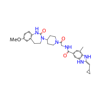 COc1ccc2c(c1)CCN(C1CCN(C(=O)CNC(=O)c3cc(C)c4c(c3)N/C(=C\C3CC3)N4)CC1)C(=O)N2